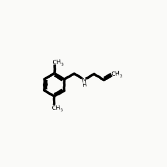 C=CCNCc1cc(C)ccc1C